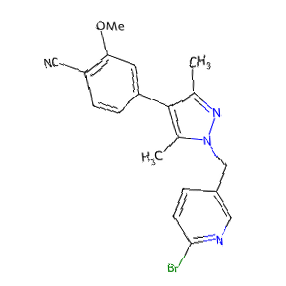 COc1cc(-c2c(C)nn(Cc3ccc(Br)nc3)c2C)ccc1C#N